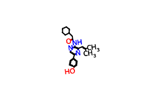 CC(C)=Cc1nc(-c2ccc(O)cc2)cnc1NC(=O)CC1CCCCC1